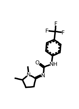 CC1CCC(=NC(=O)Nc2ccc(C(F)(F)F)cc2)N1C